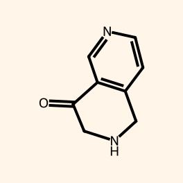 O=C1CNCc2ccncc21